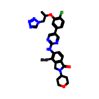 COc1c(Nc2ncc(-c3ccc(Cl)c(OC(C)Cn4cnnn4)c3)cn2)ccc2c1CN(C1CCOCC1)C2=O